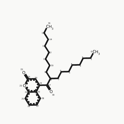 CCCCCCCCC(CCCCCCCC)C(=O)c1cc(=O)oc2ccccc12